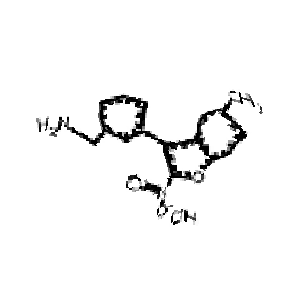 Cc1ccc2oc([N+](=O)[O-])c(-c3cccc(CN)c3)c2c1.Cl